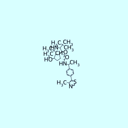 Cc1ncsc1-c1ccc([C@H](C)NC(=O)[C@@H]2C[C@@H](O)CC2C(=O)C(NC(C)(C)C)C(C)(C)C)cc1